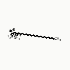 CCCC=CCCCCCCCCCCCCCCCCCCC(CC)(P(=O)=O)[N+](C)(C)C